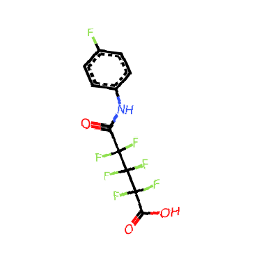 O=C(O)C(F)(F)C(F)(F)C(F)(F)C(=O)Nc1ccc(F)cc1